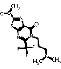 CN(C)CCCn1c(C(F)(F)F)nc2sc([S+](C)[O-])nc2c1=O